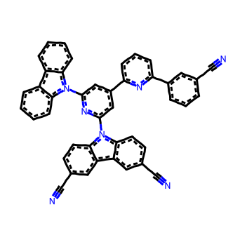 N#Cc1cccc(-c2cccc(-c3cc(-n4c5ccccc5c5ccccc54)nc(-n4c5ccc(C#N)cc5c5cc(C#N)ccc54)c3)n2)c1